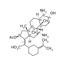 CC(=O)O[C@H]1C[C@@]2(C)[C@@H](C[C@@H](N)[C@H]3[C@@]4(C)CC[C@@H](O)[C@@H](N)[C@@H]4CC[C@@]32C)/C1=C(/C(=O)O)C1CCCC(=C(C)C)C1